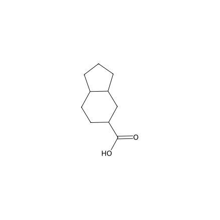 O=C(O)C1CCC2CCCC2C1